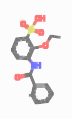 CCOc1c(NC(=O)c2[c]cccc2)cccc1S(=O)(=O)O